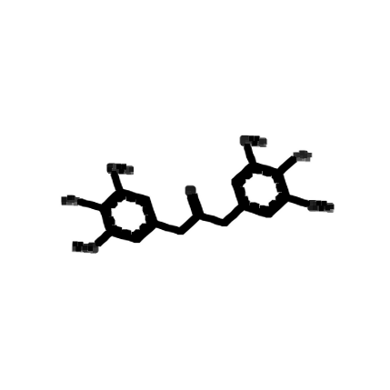 CCCc1c(OC)cc(CC(=O)Cc2cc(OC)c(CCC)c(OC)c2)cc1OC